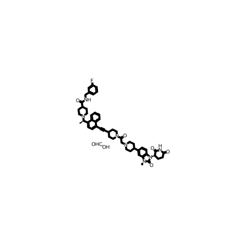 C[C@H](c1ccc(C#CC2CCN(C(=O)CN3CCC(c4ccc5c(c4)n(C)c(=O)n5[C@@H]4CCC(=O)NC4=O)CC3)CC2)c2ccccc12)N1CCC(C(=O)NCc2cccc(F)c2)CC1.O=CO